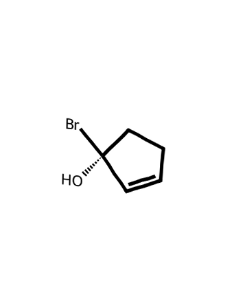 O[C@@]1(Br)C=CCC1